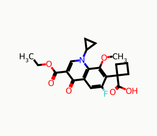 CCOC(=O)c1cn(C2CC2)c2c(OC)c(C3(C(=O)O)CCC3)c(F)cc2c1=O